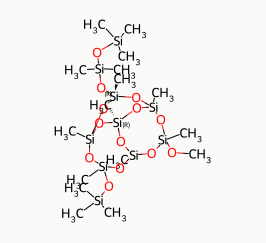 CO[Si]1(C)O[Si]2(C)O[Si](C)(O[Si](C)(C)C)O[Si]3(C)O[Si@](C)(O[Si](C)(C)O[Si](C)(C)C)O[Si](C)(O1)O[Si@@](C)(O2)O3